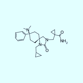 CN(C)[C@]1(c2ccccc2)CC[C@@]2(CC1)CN(CC1(C(N)=O)CC1)C(=O)N2CC1CC1